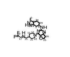 Cc1n[nH]c2cc(Nc3nc(N4CCC(CNCC(F)F)CC4)c4occc4n3)ccc12